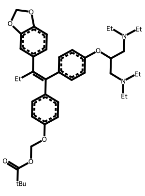 CCC(=C(c1ccc(OCOC(=O)C(C)(C)C)cc1)c1ccc(OC(CN(CC)CC)CN(CC)CC)cc1)c1ccc2c(c1)OCO2